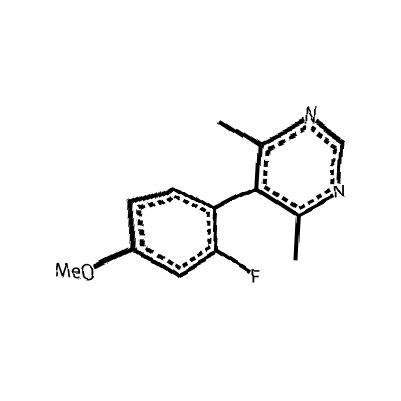 COc1ccc(-c2c(C)ncnc2C)c(F)c1